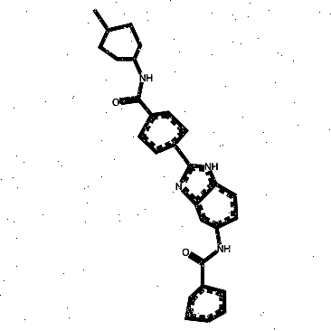 CC1CCC(NC(=O)c2ccc(-c3nc4cc(NC(=O)c5ccccc5)ccc4[nH]3)cc2)CC1